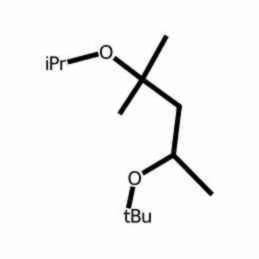 CC(C)OC(C)(C)CC(C)OC(C)(C)C